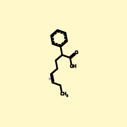 CC/C=C\CCC(C(=O)O)c1ccccc1